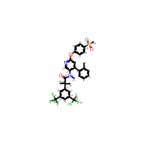 Cc1ccccc1-c1cc(Oc2ccc(S(C)(=O)=O)cc2)ncc1N(C)C(=O)C(C)(C)c1cc(C(F)(F)F)cc(C(F)(F)F)c1